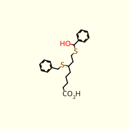 O=C(O)CCCCC(CCSC(O)c1ccccc1)SCc1ccccc1